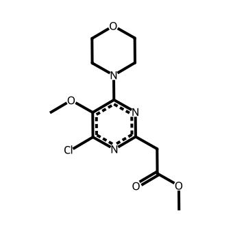 COC(=O)Cc1nc(Cl)c(OC)c(N2CCOCC2)n1